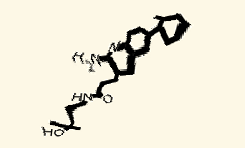 Cc1ccccc1-c1ccc2nc(N)c(CCC(=O)NCCC(C)(C)O)cc2c1